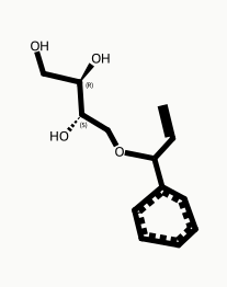 C=CC(OC[C@H](O)[C@H](O)CO)c1ccccc1